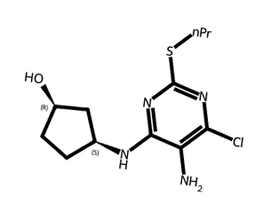 CCCSc1nc(Cl)c(N)c(N[C@H]2CC[C@@H](O)C2)n1